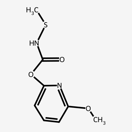 COc1cccc(OC(=O)NSC)n1